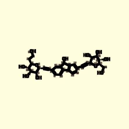 OCC[C@H]1O[C@H](C#Cc2ccc3c(c2)C(O)c2cc(C#C[C@H]4O[C@H](CO)[C@@H](O)[C@H](O)[C@@H]4O)ccc2-3)[C@@H](O)[C@@H](O)[C@@H]1O